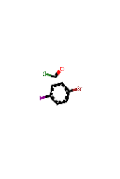 Brc1ccc(I)cc1.O=CCl